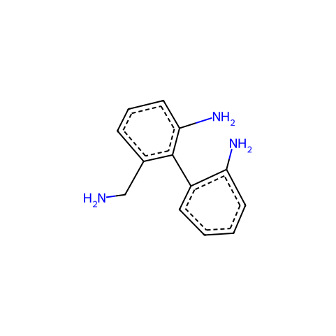 NCc1cccc(N)c1-c1ccccc1N